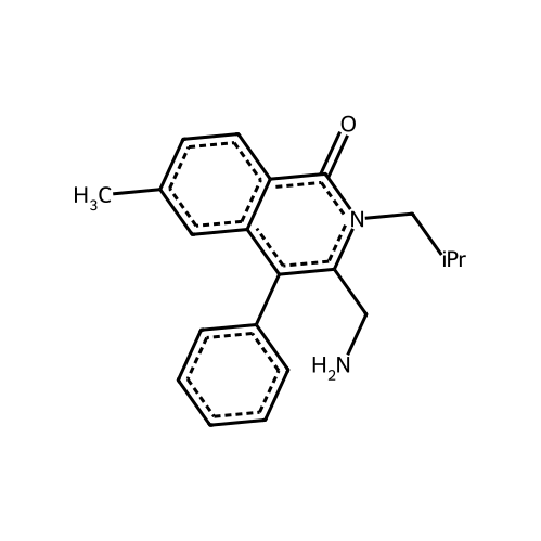 Cc1ccc2c(=O)n(CC(C)C)c(CN)c(-c3ccccc3)c2c1